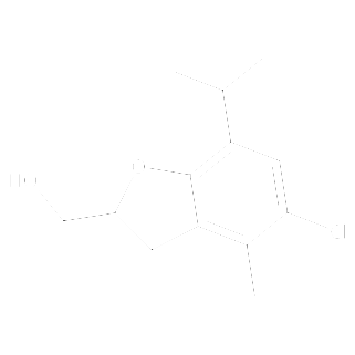 Cc1c(Cl)cc(C(C)C)c2c1CC(CO)O2